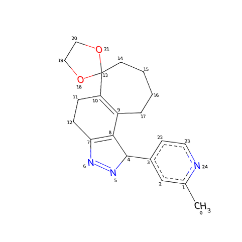 Cc1cc(C2N=NC3=C2C2=C(CC3)C3(CCCC2)OCCO3)ccn1